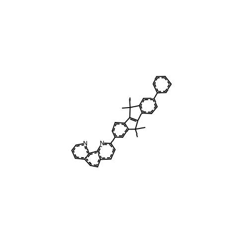 CC1(C)C2=C(c3ccc(-c4ccccc4)cc31)C(C)(C)c1cc(-c3ccc4ccc5cccnc5c4n3)ccc12